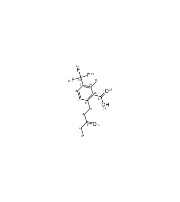 CCC(=O)CCc1ccc(C(F)(F)F)c(C)c1C(=O)O